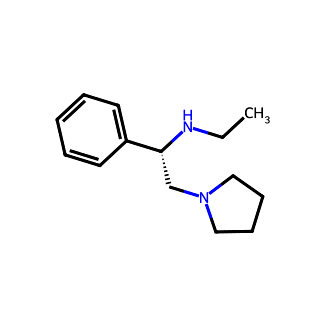 CCN[C@H](CN1CCCC1)c1ccccc1